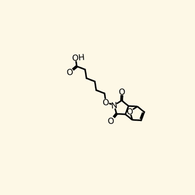 O=C(O)CCCCCON1C(=O)C2C3C=CC(O3)C2C1=O